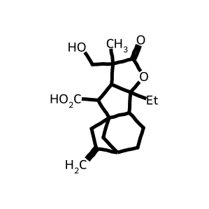 C=C1CC23CC1CCC2C1(CC)OC(=O)C(C)(CO)C1C3C(=O)O